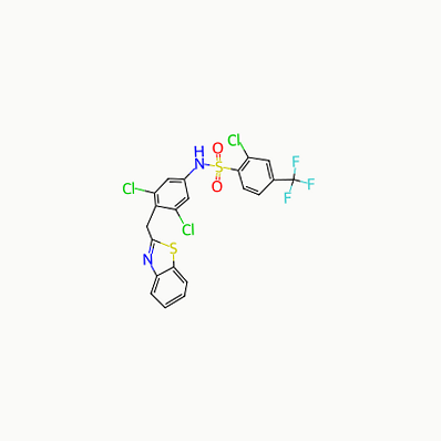 O=S(=O)(Nc1cc(Cl)c(Cc2nc3ccccc3s2)c(Cl)c1)c1ccc(C(F)(F)F)cc1Cl